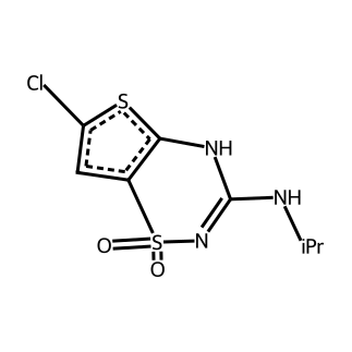 CC(C)NC1=NS(=O)(=O)c2cc(Cl)sc2N1